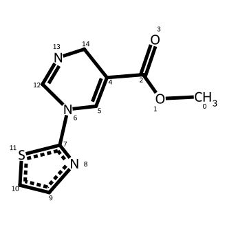 COC(=O)C1=CN(c2nccs2)C=NC1